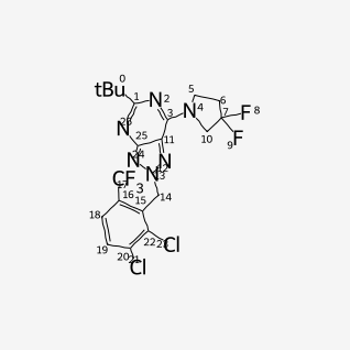 CC(C)(C)c1nc(N2CCC(F)(F)C2)c2nn(Cc3c(C(F)(F)F)ccc(Cl)c3Cl)nc2n1